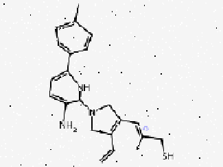 C=CC1=C(/C=C(\C)CS)CN(C2NC(c3ccc(C)cc3)=CC=C2N)C1